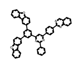 c1ccc(-c2nc(-c3ccc(-c4ncc5ccccc5n4)cc3)cc(-c3cc(-c4ccc5oc6ccccc6c5c4)cc(-c4ccc5oc6ccccc6c5c4)c3)n2)cc1